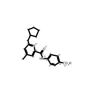 Cc1cc(CC2CCCC2)nc(C(=O)Nc2ccc(C(=O)O)cc2)c1